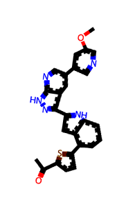 COc1cncc(-c2cnc3[nH]nc(-c4cc5c(-c6ccc(C(C)=O)s6)cccc5[nH]4)c3c2)c1